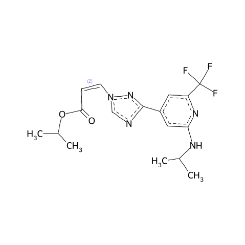 CC(C)Nc1cc(-c2ncn(/C=C\C(=O)OC(C)C)n2)cc(C(F)(F)F)n1